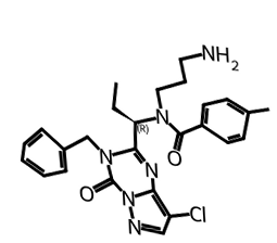 CC[C@H](c1nc2c(Cl)cnn2c(=O)n1Cc1ccccc1)N(CCCN)C(=O)c1ccc(C)cc1